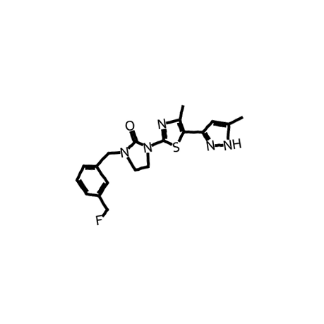 Cc1cc(-c2sc(N3CCN(Cc4cccc(CF)c4)C3=O)nc2C)n[nH]1